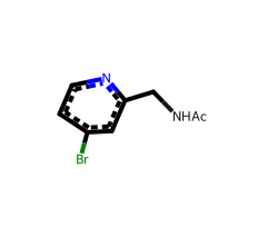 CC(=O)NCc1cc(Br)ccn1